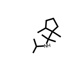 CC(C)NC(C)(C)C1(C)CCCC1C